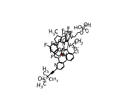 C[C@H]1CC(F)(F)c2c1c(C(F)(F)F)nn2CC(=O)NC(Cc1cc(F)cc(F)c1)c1nc(C#CC(C)(C)[S+](C)[O-])ccc1-c1ccc(Cl)c2c(N(C(=O)N(C)CCOP(=O)(O)O)[S+](C)[O-])nn(CC(F)(F)F)c12